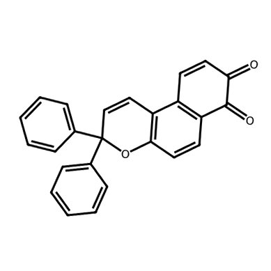 O=C1C=Cc2c(ccc3c2C=CC(c2ccccc2)(c2ccccc2)O3)C1=O